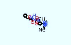 CN1C(=O)C(NC(=O)c2cc(Cc3ccccc3)on2)COc2ccc(-c3nnnn3CCC#N)cc21